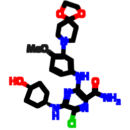 COc1ccc(Nc2nc(N[C@H]3CC[C@H](O)CC3)c(Cl)nc2C(N)=O)cc1N1CCC2(CC1)OCCO2